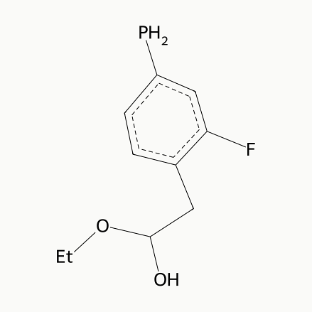 CCOC(O)Cc1ccc(P)cc1F